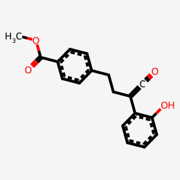 COC(=O)c1ccc(CCC(=C=O)c2ccccc2O)cc1